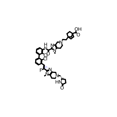 Cn1c(C(=O)Nc2cccc(-c3cccc(/C=C(\F)c4nc5c(n4C)CCN(C[C@@H]4CCC(=O)N4)C5)c3Cl)c2Cl)nc2c1CCN(CCC13CCC(C(=O)O)(CC1)C3)C2